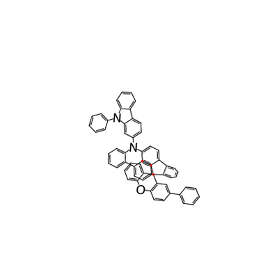 c1ccc(-c2ccc3c(c2)C2(c4ccccc4O3)c3ccccc3-c3ccc(N(c4ccc5c6ccccc6n(-c6ccccc6)c5c4)c4ccccc4-c4ccccc4)cc32)cc1